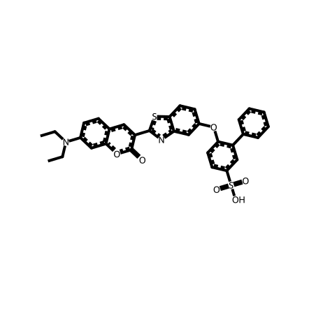 CCN(CC)c1ccc2cc(-c3nc4cc(Oc5ccc(S(=O)(=O)O)cc5-c5ccccc5)ccc4s3)c(=O)oc2c1